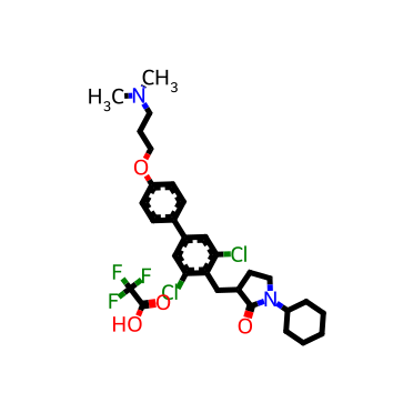 CN(C)CCCOc1ccc(-c2cc(Cl)c(CC3CCN(C4CCCCC4)C3=O)c(Cl)c2)cc1.O=C(O)C(F)(F)F